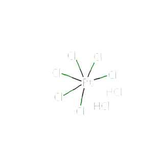 Cl.Cl.[Cl][Pt]([Cl])([Cl])([Cl])([Cl])[Cl]